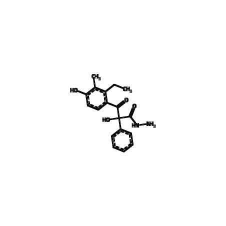 CCc1c(C(=O)C(O)(C(=O)NN)c2ccccc2)ccc(O)c1C